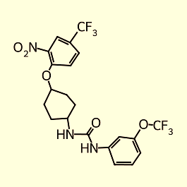 O=C(Nc1cccc(OC(F)(F)F)c1)NC1CCC(Oc2ccc(C(F)(F)F)cc2[N+](=O)[O-])CC1